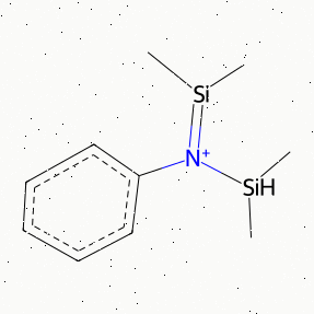 C[Si](C)=[N+](c1ccccc1)[SiH](C)C